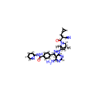 N#C/C(=C\C1CC1)C(=O)N1C[C@H]2CC(n3nc(-c4ccc(C(=O)Nc5ccccn5)cc4)c4c(N)ncnc43)[C@H]1C2